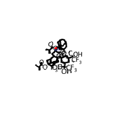 C=C(C)C(=O)OC12CC3CC(C1)C1/C=C(\C(=O)OC4CC(C(O)(C(F)(F)F)C(F)(F)F)CC(C(O)(C(F)(F)F)C(F)(F)F)C4)CC4C5CC6(O)CC(OC(=O)C(=C)C)(C5)CC4(C6)OOC1(C3)C2